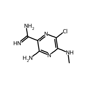 CNc1nc(N)c(C(=N)N)nc1Cl